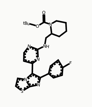 CC(C)(C)OC(=O)N1CCCCC1CNc1nccc(-c2c(-c3ccc(F)cc3)nc3sccn23)n1